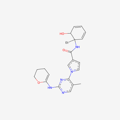 CCC1(NC(=O)c2ccn(-c3nc(NC4=CCCCO4)ncc3C)c2)C=CC=CC1O